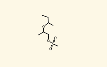 CCC(C)OC(C)COS(C)(=O)=O